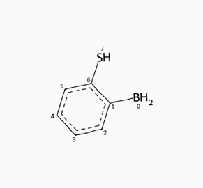 Bc1ccccc1S